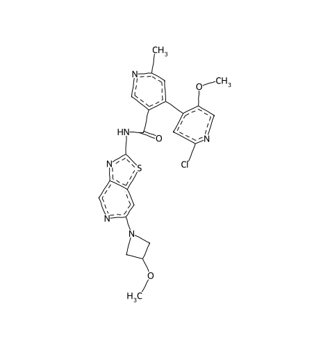 COc1cnc(Cl)cc1-c1cc(C)ncc1C(=O)Nc1nc2cnc(N3CC(OC)C3)cc2s1